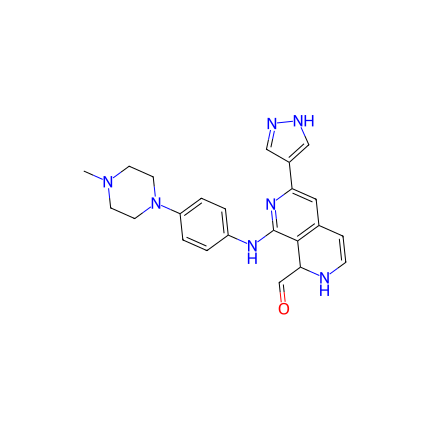 CN1CCN(c2ccc(Nc3nc(-c4cn[nH]c4)cc4c3C(C=O)NC=C4)cc2)CC1